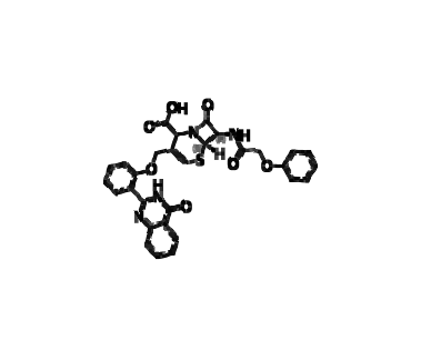 O=C(COc1ccccc1)N[C@@H]1C(=O)N2C(C(=O)O)C(COc3ccccc3-c3nc4ccccc4c(=O)[nH]3)=CS[C@@H]12